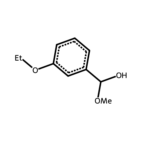 CCOc1cccc(C(O)OC)c1